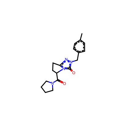 Cc1ccc(Cn2nc3n(c2=O)C(C(=O)N2CCCC2)CC3)cc1